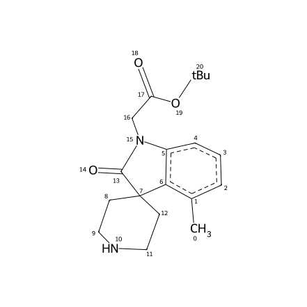 Cc1cccc2c1C1(CCNCC1)C(=O)N2CC(=O)OC(C)(C)C